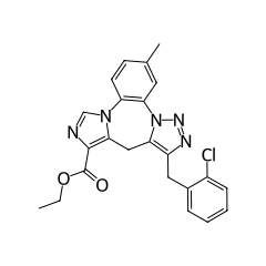 CCOC(=O)c1ncn2c1Cc1c(Cc3ccccc3Cl)nnn1-c1cc(C)ccc1-2